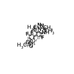 CCS(=O)(=O)n1ccc2c(-c3cc(F)c4c(c3C(F)F)-n3c(C)nnc3C(C)(C)N4)cc(F)cc21